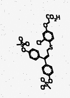 CS(=O)(=O)Oc1ccc(C(=CCSc2ccc(OCC(=O)O)cc2Cl)c2ccc(OS(C)(=O)=O)cc2)cc1